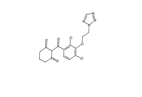 O=C1CCCC(=O)C1C(=O)c1ccc(Cl)c(OCCn2ncnn2)c1Cl